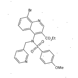 CCOC(=O)c1cnc2c(Br)cccc2c1N(Cc1cccnc1)S(=O)(=O)c1ccc(OC)cc1